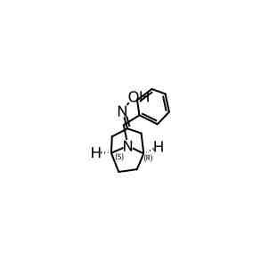 ON=C1C[C@H]2CC[C@@H](C1)N2Cc1ccccc1